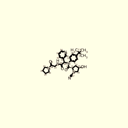 CC(C)(C)c1ccc(N(C(=O)[C@H]2C[C@@H](O)CN2C#N)C(C(=O)NCC(=O)N2CCCC2)c2cccnc2)cc1